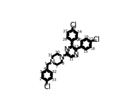 Clc1ccc(CN2CCN(c3cnc(-c4ccc(Cl)cc4)c(-c4ccc(Cl)cc4)n3)CC2)cc1